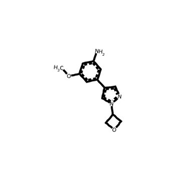 COc1cc(N)cc(-c2cnn(C3COC3)c2)c1